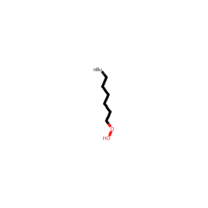 CCCCCCCCCCOO